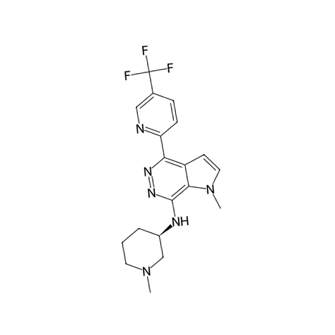 CN1CCC[C@@H](Nc2nnc(-c3ccc(C(F)(F)F)cn3)c3ccn(C)c23)C1